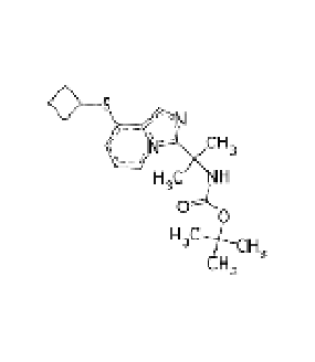 CC(C)(C)OC(=O)NC(C)(C)c1ncc2c(SC3CCC3)cccn12